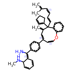 C=C(C)/C=C\C=CC1(C2=C=CCC2)C(=C)/C=C(c2ccc(/C(N)=C3\C=CC=CC3NC)cc2)\C=C/Oc2ccccc21